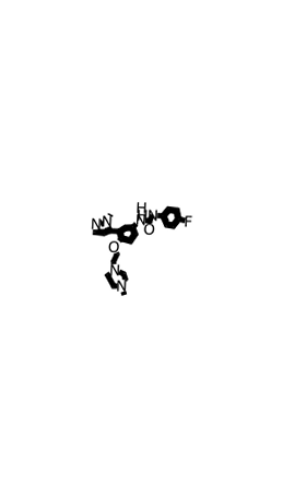 CN1CCN(CCOc2ccc(NC(=O)Nc3ccc(F)cc3)cc2-c2ccnn2C)CC1